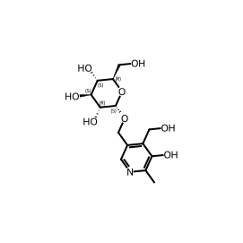 Cc1ncc(CO[C@H]2O[C@H](CO)[C@@H](O)[C@H](O)[C@H]2O)c(CO)c1O